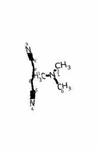 CN(C)C.N#CCCC#N